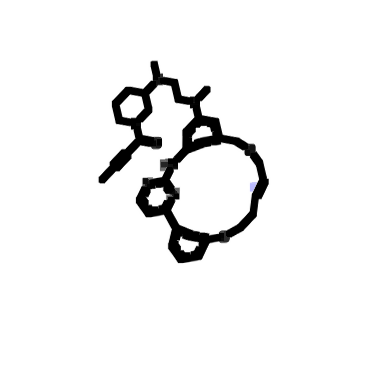 CC#CC(=O)N1CCCC(N(C)CCN(C)c2cc3cc(c2)Nc2nccc(n2)-c2cccc(c2)OCC/C=C/COC3)C1